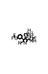 C[C@H](NC(=O)c1cnc(C#N)c(-c2cccc(OC(F)F)c2)c1N1CC[C@](C)(N)C1)C(F)(F)F